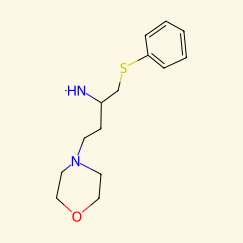 [NH]C(CCN1CCOCC1)CSc1ccccc1